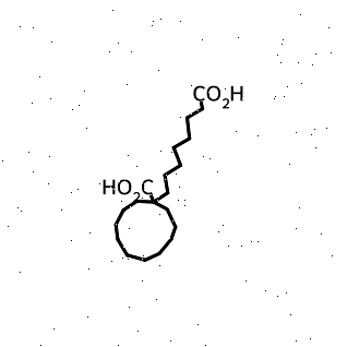 O=C(O)CCCCCCCC1(C(=O)O)CCCCCCCCCC1